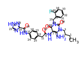 CCCCn1c(N)c(NC(=O)Cc2ccc(NC(=O)c3nc[nH]n3)cc2)c(=O)n(Cc2ccccc2F)c1=O